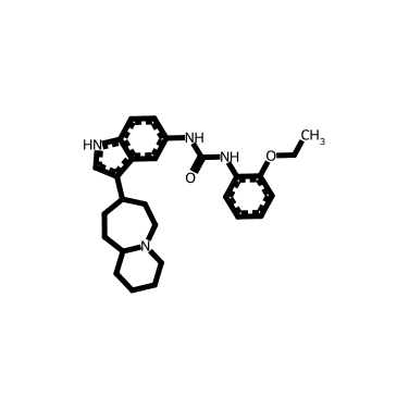 CCOc1ccccc1NC(=O)Nc1ccc2[nH]cc(C3CCC4CCCCN4CC3)c2c1